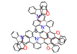 c1cc(-c2cccc3c2oc2ccccc23)c(N2c3cc(-n4c5ccccc5c5ccccc54)ccc3B3c4ccc(-n5c6ccccc6c6ccccc65)cc4N(c4c(-c5cccc6c5oc5ccccc56)cccc4-c4cccc5c4oc4ccccc45)c4cc(-c5ccc6ccccc6c5)cc2c43)c(-c2cccc3c2oc2ccccc23)c1